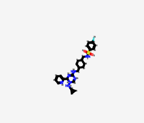 O=S(=O)(NCC1CCC(CNC2=NC(c3ccccn3)N(NC3CC3)C=N2)CC1)c1ccc(F)cc1